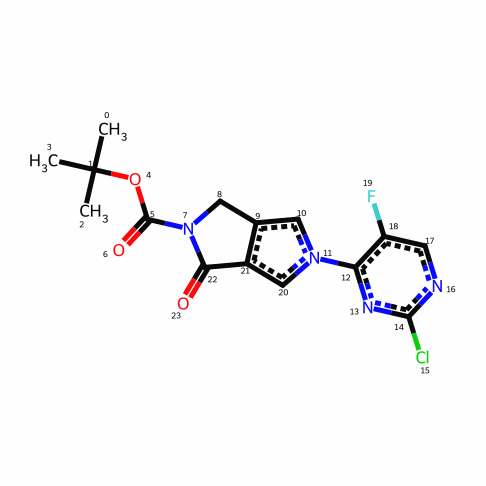 CC(C)(C)OC(=O)N1Cc2cn(-c3nc(Cl)ncc3F)cc2C1=O